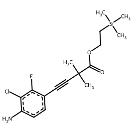 CC(C)(C#Cc1ccc(N)c(Cl)c1F)C(=O)OCC[Si](C)(C)C